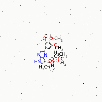 COc1cc(-c2cnc3[nH]cc(C(=O)C4(C)CCCN4C(=O)OC(C)(C)C)c3n2)cc(OC)c1OC